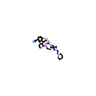 CCOc1ncccc1[C@]1(NC(=O)N2CC3(CN(CCN4CCCCC4)C3)C2)C(=O)Nc2ccc(C#N)cc21